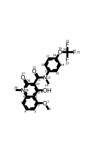 COc1cccc2c1c(O)c(C(=O)N(C)c1ccc(OC(F)(F)F)cc1)c(=O)n2C